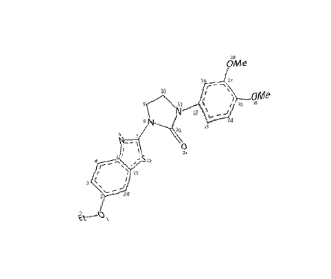 CCOc1ccc2nc(N3CCN(c4ccc(OC)c(OC)c4)C3=O)sc2c1